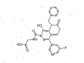 O=C(O)CNC(=O)N1N=C(c2cncc(F)c2)C2=CCC(=O)C(Cc3ccccc3)C2=C1O